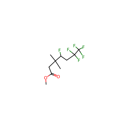 COC(=O)CC(C)(C)C(F)CC(F)(F)C(F)(F)F